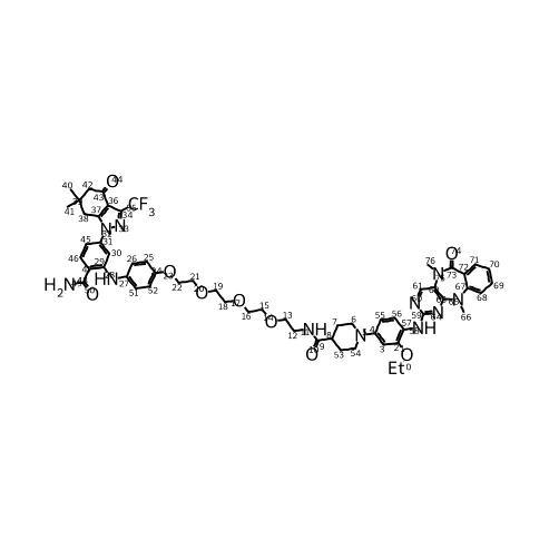 CCOc1cc(N2CCC(C(=O)NCCOCCOCCOCCOc3ccc(Nc4cc(-n5nc(C(F)(F)F)c6c5CC(C)(C)CC6=O)ccc4C(N)=O)cc3)CC2)ccc1Nc1ncc2c(n1)N(C)c1ccccc1C(=O)N2C